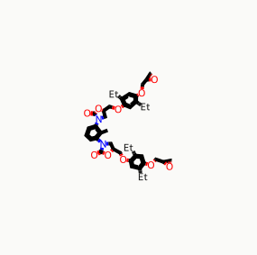 CCc1cc(OCC2CN(c3cccc(N4CC(COc5cc(CC)c(OCC6CO6)cc5CC)OC4=O)c3C)C(=O)O2)c(CC)cc1OCC1CO1